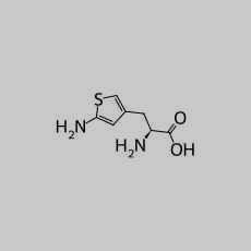 Nc1cc(C[C@H](N)C(=O)O)cs1